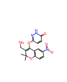 CC1(C)Oc2ccc([N+](=O)[O-])cc2C(Oc2ccc(=O)[nH]n2)=C1CO